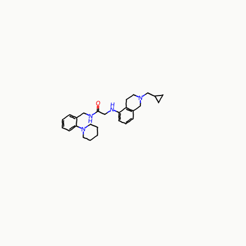 O=C(CNc1cccc2c1CCN(CC1CC1)C2)NCc1ccccc1N1CCCCC1